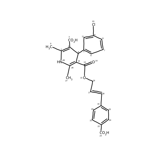 CC1=C(C(=O)O)C(c2cccc(Cl)c2)C(C(=O)OC/C=C/c2ccc(C(=O)O)cc2)=C(C)N1